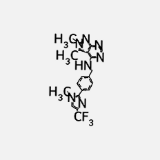 Cc1c2c(NCc3ccc(-c4nc(C(F)(F)F)cn4C)cc3)ncnc2nn1C